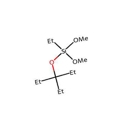 CCC(CC)(CC)O[Si](CC)(OC)OC